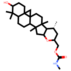 CNC(=O)OCC1C[C@@H](C)C2C(CC3(C)C4CCC5C(C)(C)C(O)CCC56CC46CCC23C)O1